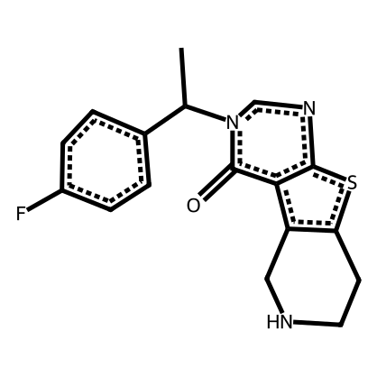 CC(c1ccc(F)cc1)n1cnc2sc3c(c2c1=O)CNCC3